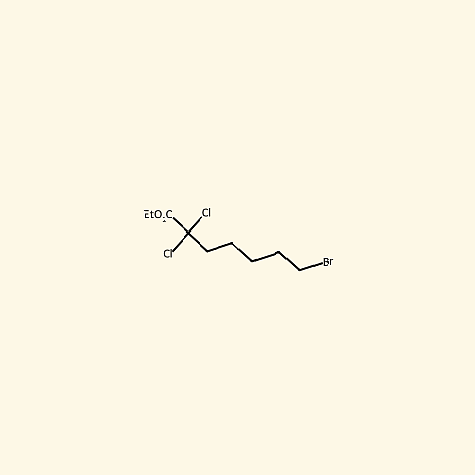 CCOC(=O)C(Cl)(Cl)CCCCCBr